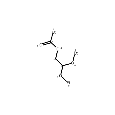 CCOC(COC(=O)CC)OCC